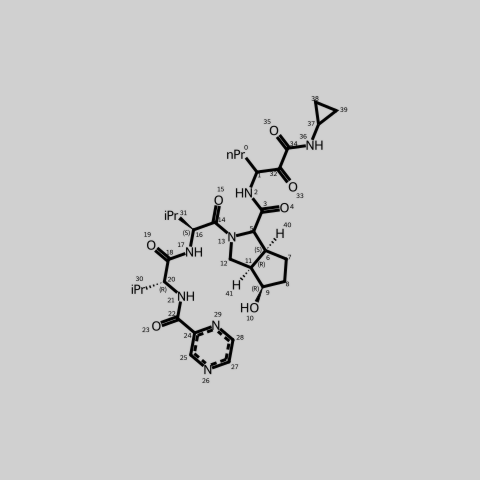 CCCC(NC(=O)C1[C@H]2CC[C@@H](O)[C@H]2CN1C(=O)[C@@H](NC(=O)[C@H](NC(=O)c1cnccn1)C(C)C)C(C)C)C(=O)C(=O)NC1CC1